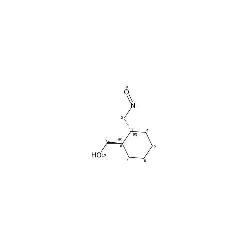 O=NC[C@@H]1CCCC[C@H]1CO